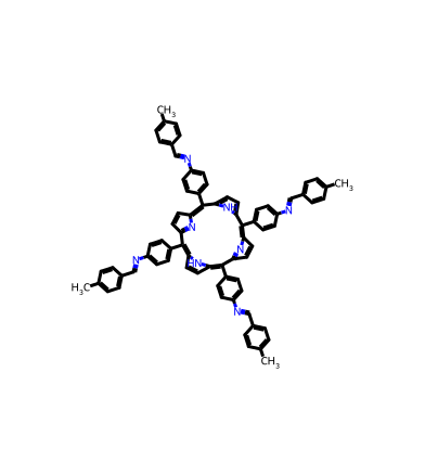 Cc1ccc(/C=N/c2ccc(-c3c4nc(c(-c5ccc(/N=C/c6ccc(C)cc6)cc5)c5ccc([nH]5)c(-c5ccc(/N=C/c6ccc(C)cc6)cc5)c5nc(c(-c6ccc(/N=C/c7ccc(C)cc7)cc6)c6ccc3[nH]6)C=C5)C=C4)cc2)cc1